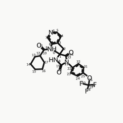 CC1(Cc2ccncc2NC(=O)C2CCCCC2)NC(=O)N(c2ccc(OC(F)(F)F)cc2)C1=O